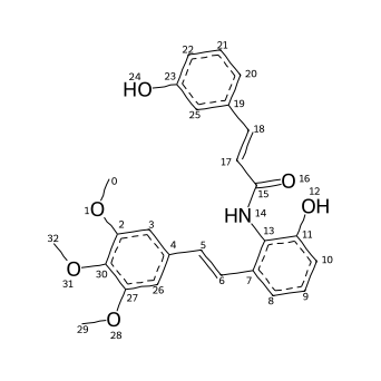 COc1cc(/C=C/c2cccc(O)c2NC(=O)/C=C/c2cccc(O)c2)cc(OC)c1OC